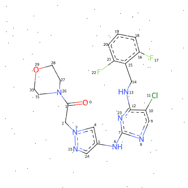 O=C(Cn1cc(Nc2ncc(Cl)c(NCc3c(F)cccc3F)n2)cn1)N1CCOCC1